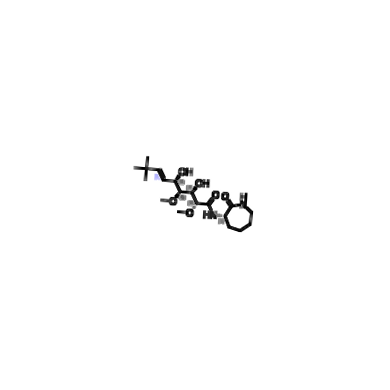 CO[C@H]([C@@H](O)[C@@H](OC)C(=O)N[C@H]1CCCCNC1=O)[C@H](O)/C=C/C(C)(C)C